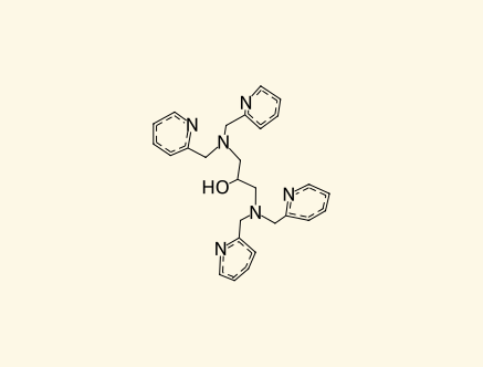 OC(CN(Cc1ccccn1)Cc1ccccn1)CN(Cc1ccccn1)Cc1ccccn1